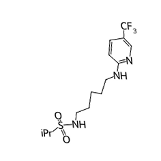 CC(C)S(=O)(=O)NCCCCCNc1ccc(C(F)(F)F)cn1